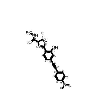 CCNC(=O)C1N=C(c2ccc(C#Cc3ccc(N(C)C)cc3)cc2O)O[C@H]1C